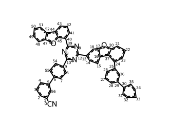 N#Cc1cccc(-c2ccc(-c3nc(-c4ccc5c(c4)oc4cccc(-c6cccc(-c7ccccc7)c6)c45)nc(-c4cccc5c4oc4ccccc45)n3)cc2)c1